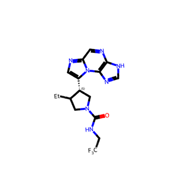 CCC1CN(C(=O)NCC(F)(F)F)C[C@H]1c1cnc2cnc3[nH]cnc3n12